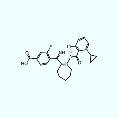 N=C(C1=C(NC(=O)c2c(Cl)cccc2C2CC2)CCCCC1)c1ccc(C(=O)O)cc1F